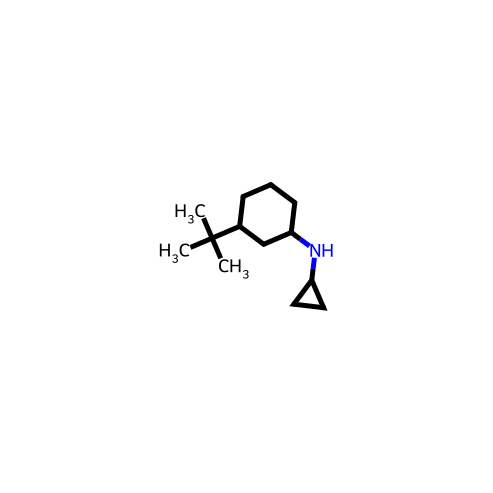 CC(C)(C)C1CCCC(NC2CC2)C1